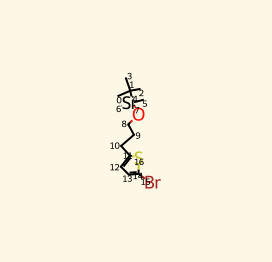 CC(C)(C)[Si](C)(C)OCCCc1ccc(Br)s1